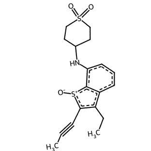 CC#Cc1c(CC)c2cccc(NC3CCS(=O)(=O)CC3)c2[s+]1[O-]